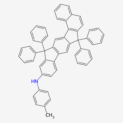 Cc1ccc(Nc2ccc3c(c2)C(c2ccccc2)(c2ccccc2)c2cc4c(cc2-3)C(c2ccccc2)(c2ccccc2)c2ccc3ccccc3c2-4)cc1